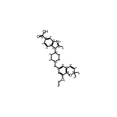 CCOc1cc(CN2CCC(n3c(C)nc4cc(C(=O)O)ccc43)CC2)cc2c1OC(C)(C)C=C2